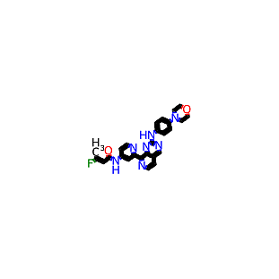 C/C(F)=C\C(=O)Nc1ccnc(-c2nccc3cnc(Nc4ccc(N5CCOCC5)cc4)nc23)c1